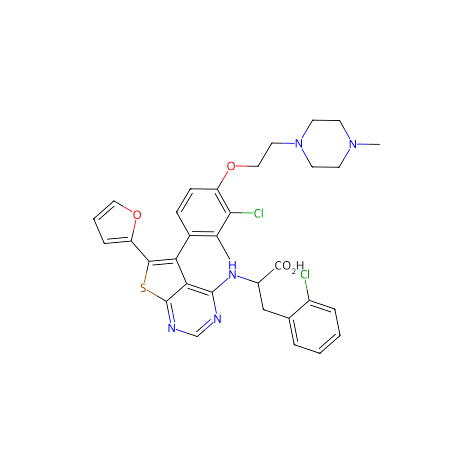 Cc1c(-c2c(-c3ccco3)sc3ncnc(NC(Cc4ccccc4Cl)C(=O)O)c23)ccc(OCCN2CCN(C)CC2)c1Cl